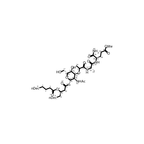 CCCCCCCCCCCCCC(=O)O[C@H](CCCCCCCCCCC)CC(=O)S[C@@H]1O[C@H](CO)[C@@H](O)[C@@H](OC(C)C(=O)N[C@@H](C)C(=O)N[C@H](CCC(=O)OC)C(N)=O)[C@H]1NC(C)=O